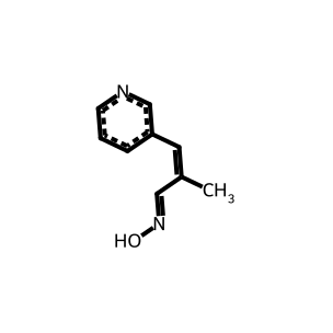 CC(C=NO)=Cc1cccnc1